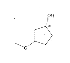 COC1CC[C@@H](O)C1